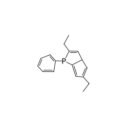 CCC1=CC2C=C(CC)P(c3ccccc3)C2=C1